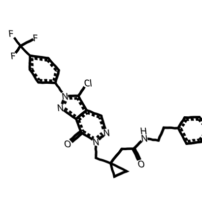 O=C(CC1(Cn2ncc3c(Cl)n(-c4ccc(C(F)(F)F)cc4)nc3c2=O)CC1)NCCc1ccccc1